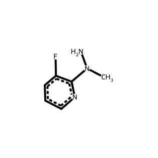 CN(N)c1ncccc1F